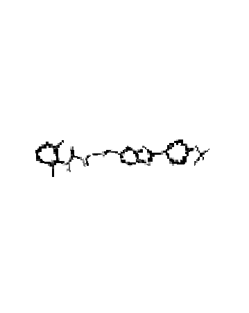 Cc1cccc(C)c1NC(=O)NS/N=C/c1ccc2sc(-c3ccc(OC(F)(F)F)cc3)nc2c1